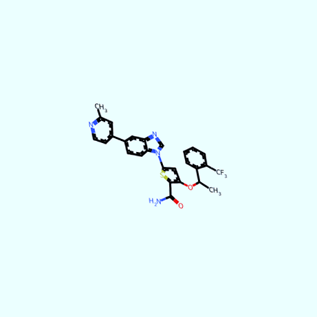 Cc1cc(-c2ccc3c(c2)ncn3-c2cc(OC(C)c3ccccc3C(F)(F)F)c(C(N)=O)s2)ccn1